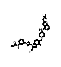 C=CC(=O)Nc1cccc(N2CC(n3c(C#N)cc4c(C)c(CN5CCC(Nc6ncnc7sc(CC(F)(F)F)cc67)CC5)ccc43)C2)c1